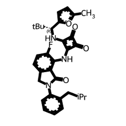 Cc1ccc([C@H](Nc2c(Nc3c(F)ccc4c3C(=O)N(c3ccccc3CC(C)C)C4)c(=O)c2=O)C(C)(C)C)o1